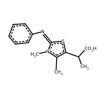 Cc1c(C(C)C(=O)O)sc(=Nc2ccccc2)n1C